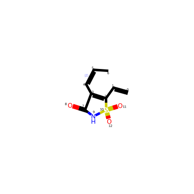 C=CC1=C(/C=C\C)C(=O)NS1(=O)=O